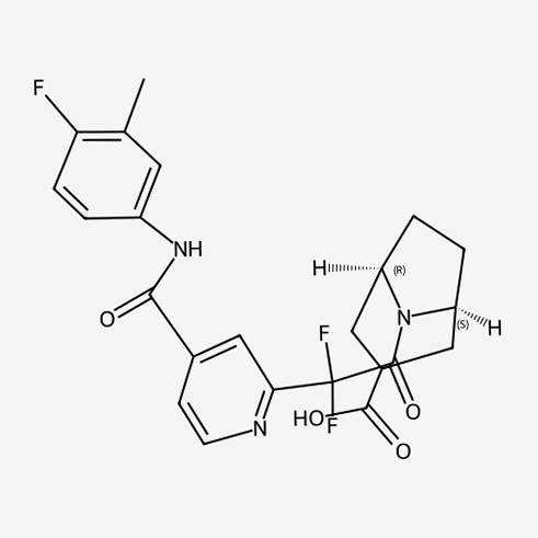 Cc1cc(NC(=O)c2ccnc(C(F)(F)C(=O)N3[C@@H]4CC[C@H]3CC(C(=O)O)C4)c2)ccc1F